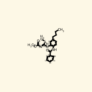 CCCCc1ccc(NC(=O)c2ccccc2)c(N/C(=N/C(=O)OC)SC)c1